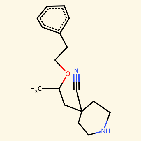 CC(CC1(C#N)CCNCC1)OCCc1ccccc1